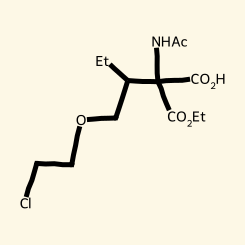 CCOC(=O)C(NC(C)=O)(C(=O)O)C(CC)COCCCl